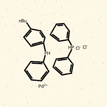 CCCCc1ccc(Pc2ccccc2)cc1.[Cl-].[Cl-].[Pd+2].c1ccc(Pc2ccccc2)cc1